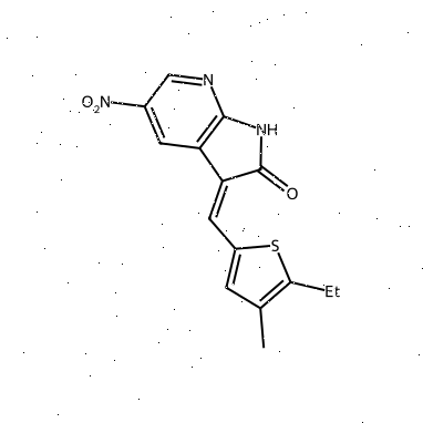 CCc1sc(C=C2C(=O)Nc3ncc([N+](=O)[O-])cc32)cc1C